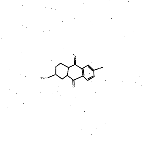 CCCCCC1CCC2C(=O)c3cc(C)ccc3C(=O)C2C1